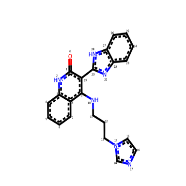 O=c1[nH]c2ccccc2c(NCCCn2ccnc2)c1-c1nc2ccccc2[nH]1